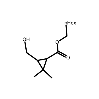 CCCCCCCOC(=O)C1C(CO)C1(C)C